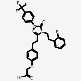 O=C(O)COc1ccc(CCc2nn(-c3ccc(C(F)(F)F)cc3)c(=O)n2CCc2ccccc2F)cc1